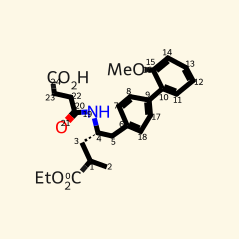 CCOC(=O)C(C)C[C@@H](Cc1ccc(-c2ccccc2OC)cc1)NC(=O)CCC(=O)O